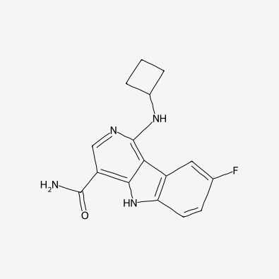 NC(=O)c1cnc(NC2CCC2)c2c1[nH]c1ccc(F)cc12